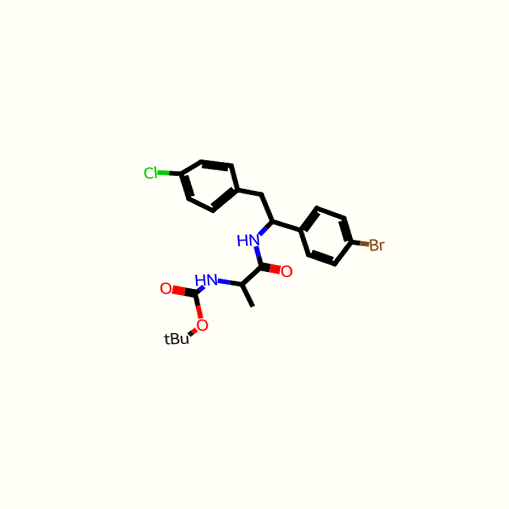 CC(NC(=O)OC(C)(C)C)C(=O)NC(Cc1ccc(Cl)cc1)c1ccc(Br)cc1